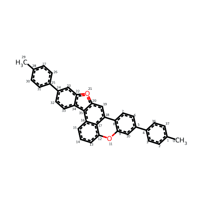 Cc1ccc(-c2ccc3c(c2)Oc2cccc4c2c-3cc2oc3cc(-c5ccc(C)cc5)ccc3c24)cc1